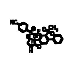 CS(=O)(=O)c1c(-c2ccccc2)ccc([C@@]2(NS(=O)(=O)c3ccc(C#N)cc3)CCNC2=O)c1F